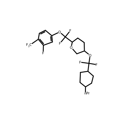 CCCC1CCC(C(F)(F)OC2CCC(C(F)(F)Oc3ccc(C(F)(F)F)c(F)c3)OC2)CC1